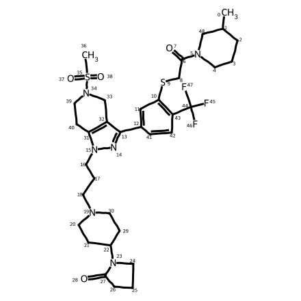 CC1CCCN(C(=O)CSc2cc(-c3nn(CCCN4CCC(N5CCCC5=O)CC4)c4c3CN(S(C)(=O)=O)CC4)ccc2C(F)(F)F)C1